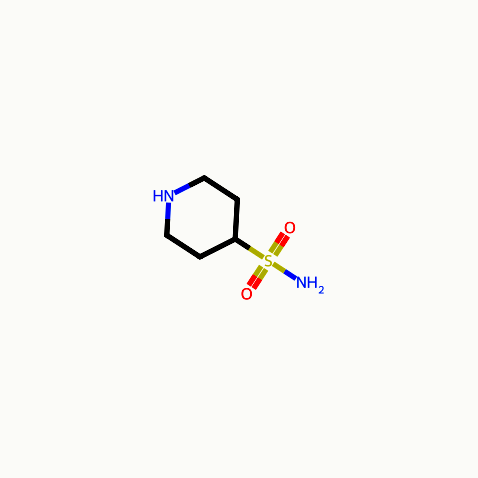 NS(=O)(=O)C1CCNCC1